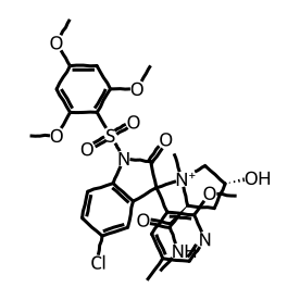 CNC(=O)[C@@H]1C[C@@H](O)C[N+]1(C)C1(c2cc(C)cnc2OC)C(=O)N(S(=O)(=O)c2c(OC)cc(OC)cc2OC)c2ccc(Cl)cc21